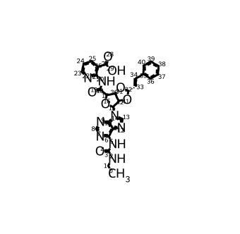 CCNC(=O)Nc1ncnc2c1ncn2C1OC(C(=O)Nc2ncccc2C(=O)O)C2O[C@H](/C=C/c3ccccc3)OC21